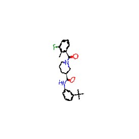 Cc1c(F)cccc1C(=O)N1CCC[C@H](C(=O)Nc2cccc(C(C)(C)C)c2)C1